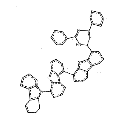 C1=Cc2c(n(-c3cccc4c3sc3cccc(-c5cccc6c5sc5c(C7N=C(c8ccccc8)N=C(c8ccccc8)N7)cccc56)c34)c3ccccc23)CC1